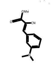 COC(=O)/C(C#N)=C/c1cccc(N(C)C)c1